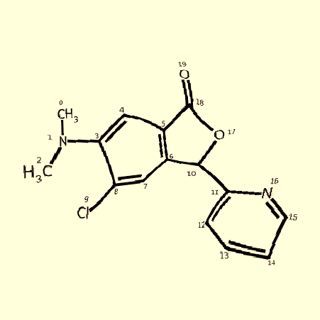 CN(C)c1cc2c(cc1Cl)C(c1ccccn1)OC2=O